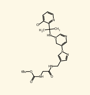 CC(C)(C)OC(=O)NCC(=O)NCc1cnn(C2=CN=CN(NC(C)(C)c3ncccc3Cl)C2)c1